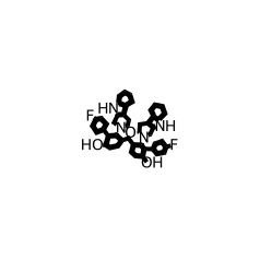 O=C(c1ccc(O)c(-c2ccc(F)cc2)c1N1CCc2c([nH]c3ccccc23)C1)c1ccc(O)c(-c2ccc(F)cc2)c1N1CCc2c([nH]c3ccccc23)C1